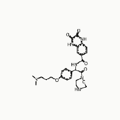 CN(C)CCCOc1ccc(C(NC(=O)c2ccc3[nH]c(=O)c(=O)[nH]c3c2)C(=O)N2CCNCC2)cc1